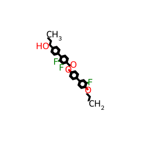 C=CCCOc1ccc(-c2ccc(OC(=O)c3ccc(-c4ccc(C(O)CCC)cc4)c(F)c3F)cc2)cc1F